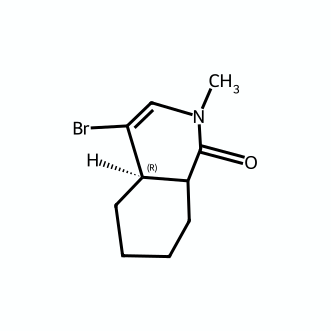 CN1C=C(Br)[C@@H]2CCCCC2C1=O